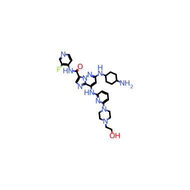 NC1CCC(Nc2cc(Nc3cccc(N4CCN(CCO)CC4)n3)c3ncc(C(=O)Nc4ccncc4F)n3n2)CC1